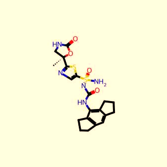 C[C@]1(c2ncc(S(N)(=O)=NC(=O)Nc3c4c(cc5c3CCC5)CCC4)s2)CNC(=O)O1